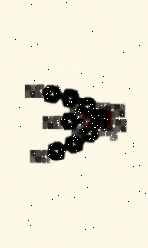 Cc1cc(C)nc(-c2c(-n3c4cc(-c5ccc(C#N)cc5)ccc4c4ccc(-c5ccc(C#N)cc5)cc43)cc(C#N)cc2-n2c3cc(-c4ccc(C#N)cc4)ccc3c3ccc(-c4ccc(C#N)cc4)cc32)n1